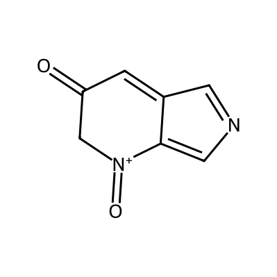 O=C1C=C2C=NC=C2[N+](=O)C1